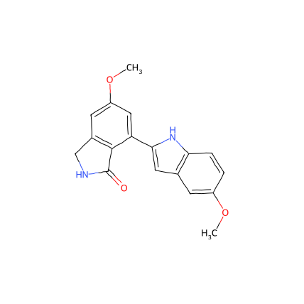 COc1cc2c(c(-c3cc4cc(OC)ccc4[nH]3)c1)C(=O)NC2